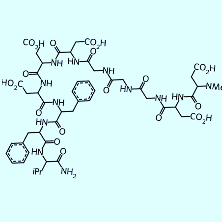 CNC(CC(=O)O)C(=O)NC(CC(=O)O)C(=O)NCC(=O)NCC(=O)NCC(=O)NC(CC(=O)O)C(=O)NC(CC(=O)O)C(=O)NC(CC(=O)O)C(=O)NC(Cc1ccccc1)C(=O)NC(Cc1ccccc1)C(=O)NC(C(N)=O)C(C)C